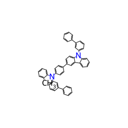 Cc1ccccc1N(c1ccc(-c2ccc3c(c2)c2ccccc2n3-c2cccc(-c3ccccc3)c2)cc1)c1cccc(-c2ccccc2)c1